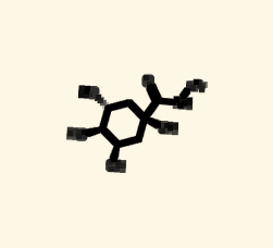 CCCNC(=O)[C@]1(O)C[C@@H](O)[C@@H](O)[C@H](O)C1